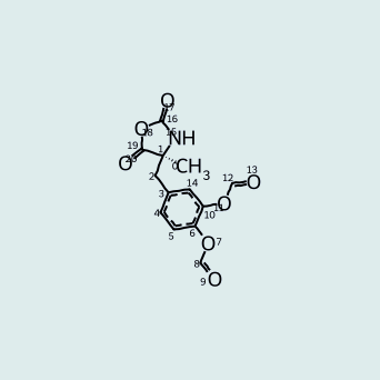 C[C@@]1(Cc2ccc(OC=O)c(OC=O)c2)NC(=O)OC1=O